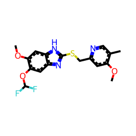 COc1cc(CSc2nc3cc(OC(F)F)c(OC)cc3[nH]2)ncc1C